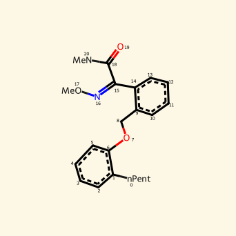 CCCCCc1ccccc1OCc1ccccc1C(=NOC)C(=O)NC